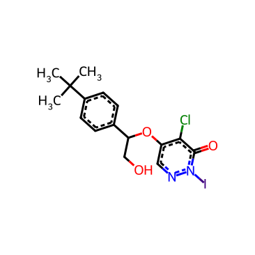 CC(C)(C)c1ccc(C(CO)Oc2cnn(I)c(=O)c2Cl)cc1